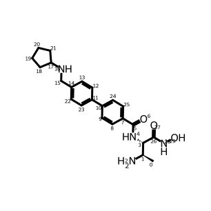 C[C@@H](N)[C@H](NC(=O)c1ccc(-c2ccc(CNC3CCCC3)cc2)cc1)C(=O)NO